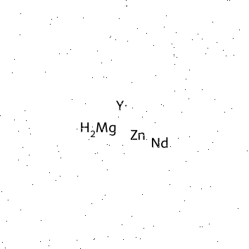 [MgH2].[Nd].[Y].[Zn]